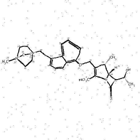 C[C@@H](O)[C@H]1C(=O)N2C(C(=O)O)=C(COc3cccc4c(C[N+]56CC[N+](C)(CC5)CC6)cccc34)[C@H](C)[C@H]12